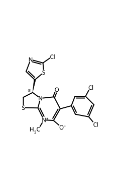 C[n+]1c([O-])c(-c2cc(Cl)cc(Cl)c2)c(=O)n2c1SC[C@H]2c1cnc(Cl)s1